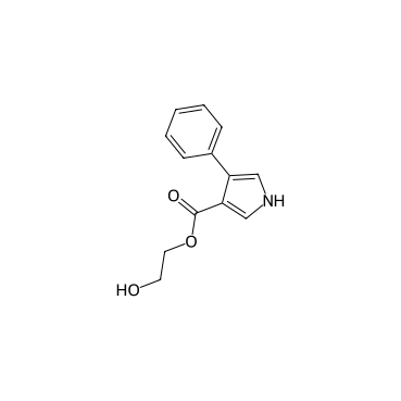 O=C(OCCO)c1c[nH]cc1-c1ccccc1